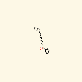 C=CCCCCCCCCC(=O)c1ccccc1